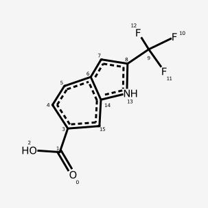 O=C(O)c1ccc2cc(C(F)(F)F)[nH]c2c1